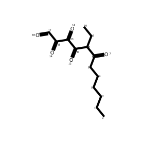 CCCCCCC(=O)C(CC)C(=O)C(=O)C(=O)C=O